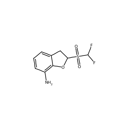 Nc1cccc2c1OC(S(=O)(=O)C(F)F)C2